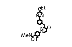 CCOc1cnc(-c2cccc(Cc3nn(-c4ccc(C(=O)NC)c(F)c4)ccc3=O)c2)nc1